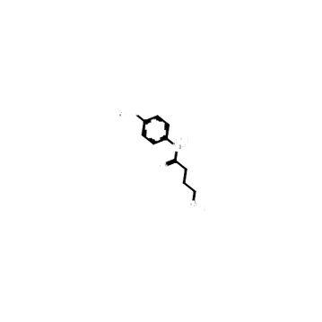 CCCCCCCCCc1ccc(NC(=O)CCCN)cc1.Cl